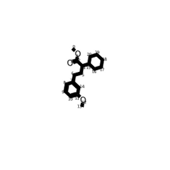 COC(=O)C(CCc1cccc(OC)c1)C1CCCCC1